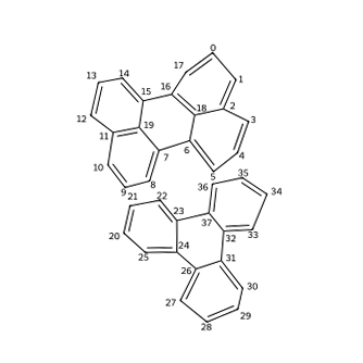 c1cc2cccc3c4cccc5cccc(c(c1)c23)c54.c1ccc2c(c1)c1ccccc1c1ccccc21